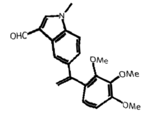 C=C(c1ccc2c(c1)c(C=O)cn2C)c1ccc(OC)c(OC)c1OC